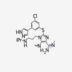 C=Nc1c(/C(N)=N\C)nc(Sc2cc(Cl)cc(-c3cn[nH]c3)c2)n1CCCNC(C)C